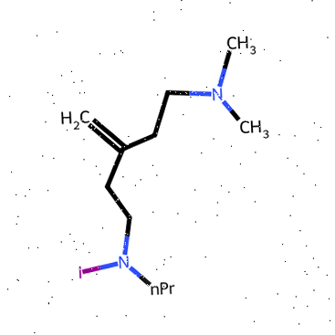 C=C(CCN(C)C)CCN(I)CCC